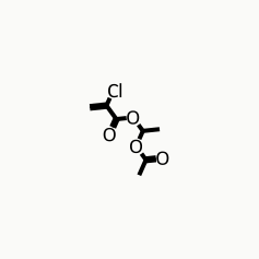 C=C(Cl)C(=O)OC(C)OC(C)=O